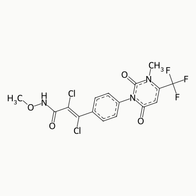 CONC(=O)C(Cl)=C(Cl)c1ccc(-n2c(=O)cc(C(F)(F)F)n(C)c2=O)cc1